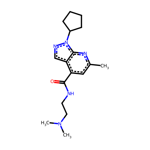 Cc1cc(C(=O)NCCN(C)C)c2cnn(C3CCCC3)c2n1